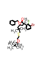 CC(C)(CCC[C@@](C)(C(=O)OCc1ccccc1)c1cccc(Br)c1F)CSCCO[Si](C)(C)C(C)(C)C